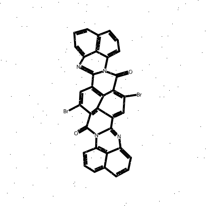 O=c1c2c(Br)cc3c4c(c(Br)cc(c24)c2nc4cccc5cccc(c54)n12)c(=O)n1c2cccc4cccc(nc31)c42